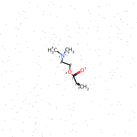 C=CC(=O)OCC[N+](C)C